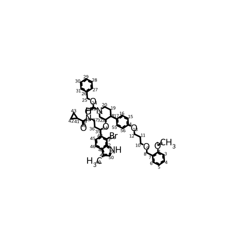 COc1ccccc1COCCCOc1ccc(C2CCN(C(=O)OCc3ccccc3)CC2OC(CCNC(=O)C2CC2)c2ccc3c(C)c[nH]c3c2Br)cc1